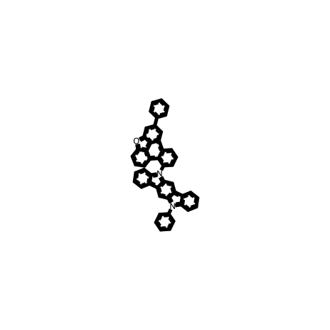 c1ccc(-c2cc3oc4cccc5c6c(-n7c8ccccc8c8cc9c(cc87)c7ccccc7n9-c7ccccc7)cccc6c(c2)c3c45)cc1